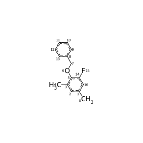 Cc1cc(C)c(OCc2ccccc2)c(F)c1